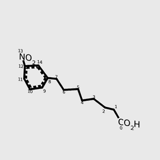 O=C(O)CCCCCCCc1cccc([N+](=O)[O-])c1